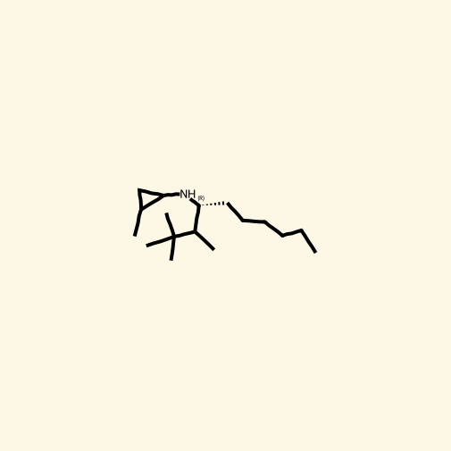 CCCCCC[C@@H](NC1CC1C)C(C)C(C)(C)C